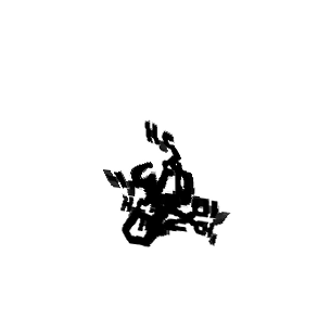 CCCO[Si](c1ccccc1)(C(C)(C)C)C(C)(C)C